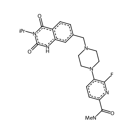 CNC(=O)c1ccc(N2CCN(Cc3ccc4c(=O)n(C(C)C)c(=O)[nH]c4c3)CC2)c(F)n1